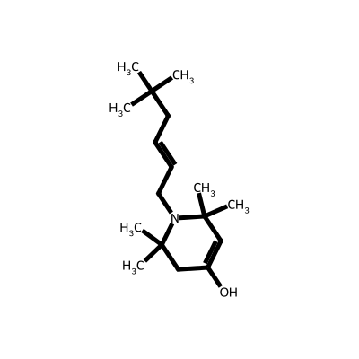 CC(C)(C)CC=CCN1C(C)(C)C=C(O)CC1(C)C